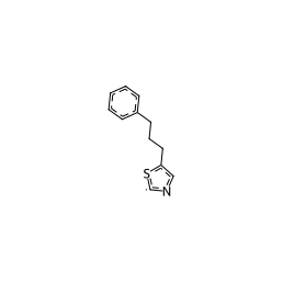 [c]1ncc(CCCc2ccccc2)s1